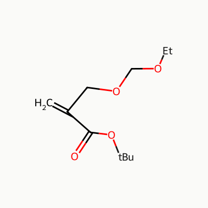 C=C(COCOCC)C(=O)OC(C)(C)C